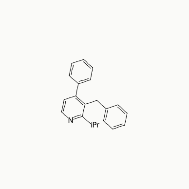 CC(C)c1nccc(-c2ccccc2)c1Cc1ccccc1